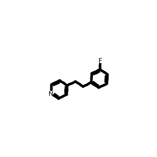 Fc1cccc(CCc2ccncc2)c1